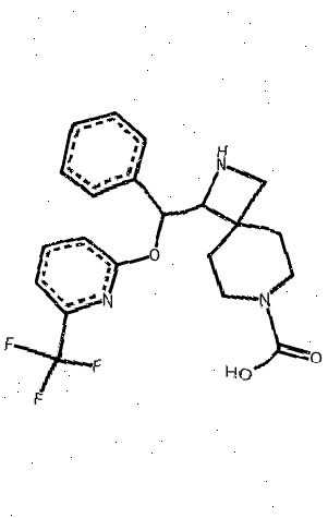 O=C(O)N1CCC2(CC1)CNC2C(Oc1cccc(C(F)(F)F)n1)c1ccccc1